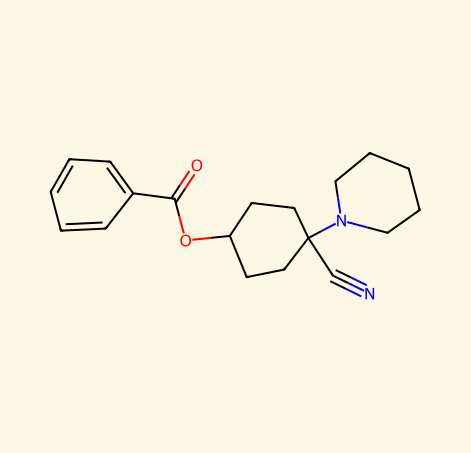 N#CC1(N2CCCCC2)CCC(OC(=O)c2ccccc2)CC1